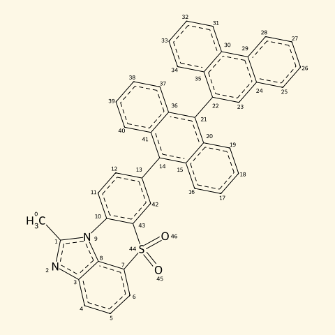 Cc1nc2cccc3c2n1-c1ccc(-c2c4ccccc4c(-c4cc5ccccc5c5ccccc45)c4ccccc24)cc1S3(=O)=O